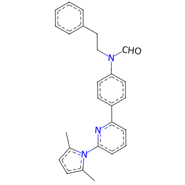 Cc1ccc(C)n1-c1cccc(-c2ccc(N(C=O)CCc3ccccc3)cc2)n1